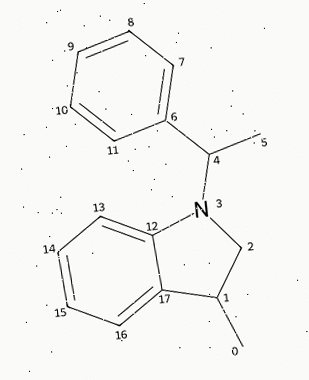 CC1CN(C(C)c2ccccc2)c2ccccc21